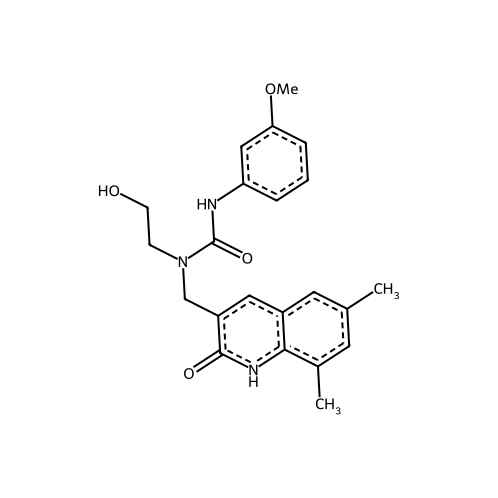 COc1cccc(NC(=O)N(CCO)Cc2cc3cc(C)cc(C)c3[nH]c2=O)c1